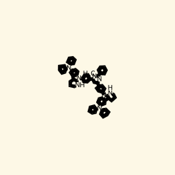 CN1C(c2ccccc2)=NC(c2ccc(N3c4ccc(N(c5ccccc5)c5ccccc5)cc4C4CCCNC43)cc2)CC1c1ccc(N2c3ccc(N(c4ccccc4)c4ccccc4)cc3C3CCCNC32)cc1